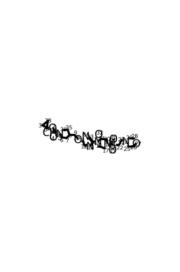 CC1(OC(=O)N2CCC(COc3cnc(N4CCN(S(=O)(=O)CCN5CCOCC5)CC4=O)cn3)CC2)CC1